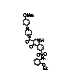 CCOc1ccccc1N(C)S(=O)(=O)c1ccc2[nH]cc(C(=O)N3CCN(c4ccc(OC)cc4)CC3)c(=O)c2c1